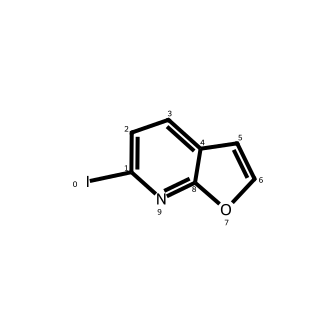 Ic1ccc2ccoc2n1